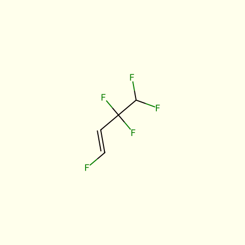 FC=CC(F)(F)C(F)F